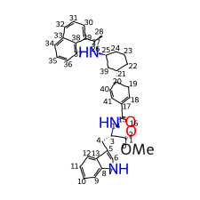 COC(=O)[C@H](Cc1c[nH]c2ccccc12)NC(=O)C1=CCC([C@H]2CCC[C@H](N[C@H](C)c3cccc4ccccc34)C2)C=C1